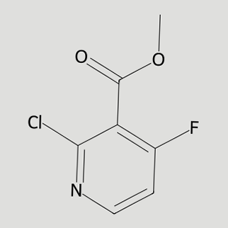 COC(=O)c1c(F)ccnc1Cl